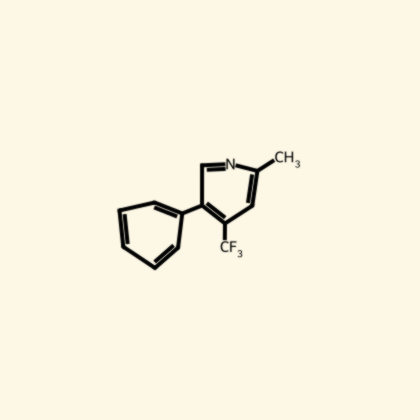 Cc1cc(C(F)(F)F)c(-c2ccccc2)cn1